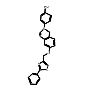 Oc1ccc(N2C=Nc3cc(OCc4noc(-c5ccccc5)n4)ccc3C2)cc1